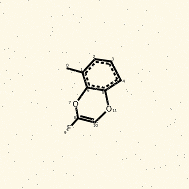 Cc1cccc2c1OC(F)=[C]O2